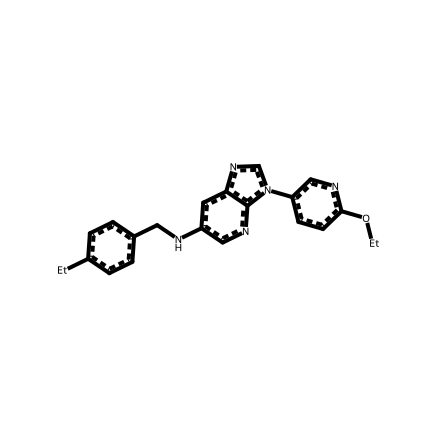 CCOc1ccc(-n2cnc3cc(NCc4ccc(CC)cc4)cnc32)cn1